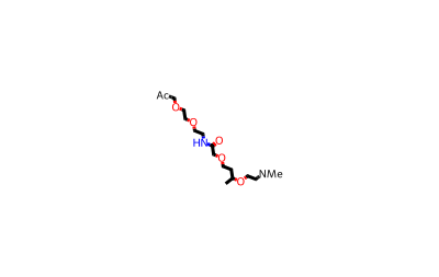 CNCCOC(C)CCOCC(=O)NCCOCCOCC(C)=O